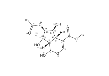 COC(=O)C1=COC(O)[C@H]2[C@@H]1[C@H](O)[C@H](OC(C)=O)[C@]2(C)O